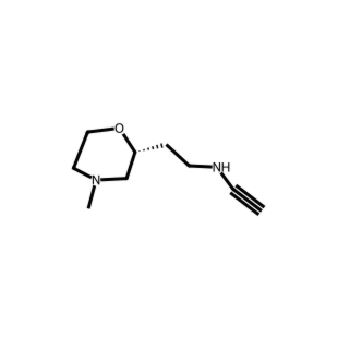 C#CNCC[C@@H]1CN(C)CCO1